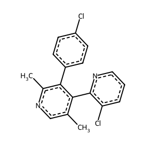 Cc1cnc(C)c(-c2ccc(Cl)cc2)c1-c1ncccc1Cl